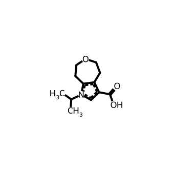 CC(C)n1cc(C(=O)O)c2c1CCOCC2